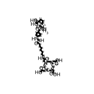 C[C@@H](NC(=O)c1ccc(NNC(=O)CCCCCCCNC(=O)CN2CCN(CC(=O)O)CCN(CC(=O)O)CCN(CC(=O)O)CC2)cc1)C(=O)N1CCC[C@H]1B(O)O